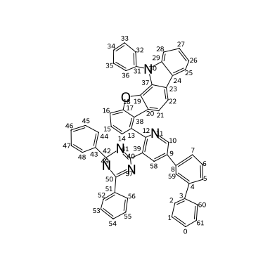 c1ccc(-c2cccc(-c3cnc(-c4cccc5oc6c(ccc7c8ccccc8n(-c8ccccc8)c76)c45)c(-c4nc(-c5ccccc5)nc(-c5ccccc5)n4)c3)c2)cc1